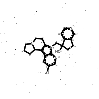 OC1(Cn2c3c(c4cc(Cl)cnc42)C2CCCN2CC3)CCc2cnccc21